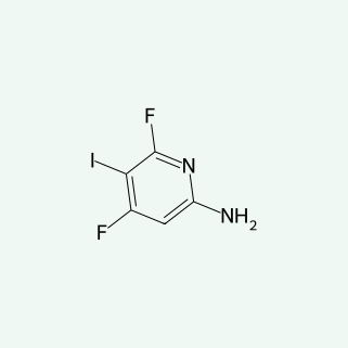 Nc1cc(F)c(I)c(F)n1